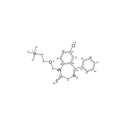 C[Si](C)(C)CCOCN1C(=S)CN=C(c2ccccc2)c2cc(Cl)ccc21